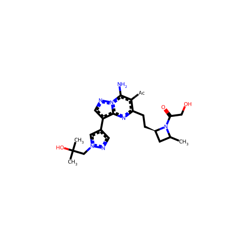 CC(=O)c1c(CC[C@@H]2CC(C)N2C(=O)CO)nc2c(-c3cnn(CC(C)(C)O)c3)cnn2c1N